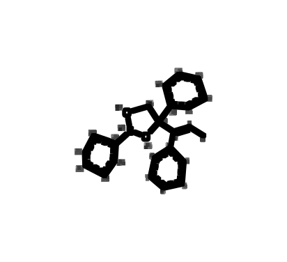 C/C=C(\c1ccccc1)C1(c2ccccc2)COB(c2ccccc2)O1